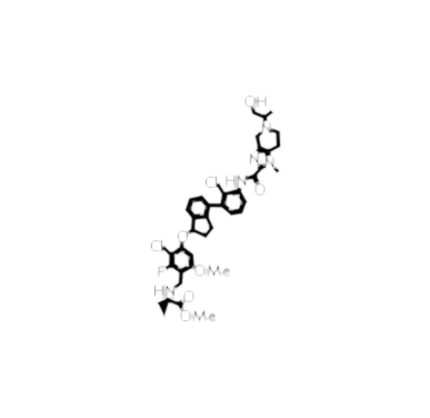 COC(=O)C1(NCc2c(OC)cc(OC3CCc4c(-c5cccc(NC(=O)c6nc7c(n6C)CCN(C(C)CO)C7)c5Cl)cccc43)c(Cl)c2F)CC1